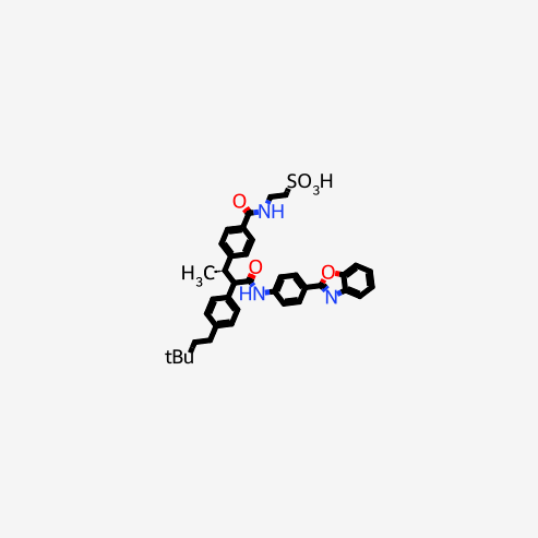 C[C@H](c1ccc(C(=O)NCCS(=O)(=O)O)cc1)C(C(=O)Nc1ccc(-c2nc3ccccc3o2)cc1)c1ccc(CCC(C)(C)C)cc1